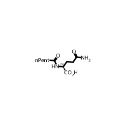 CCCCCC(=O)N[C@@H](CCC(N)=O)C(=O)O